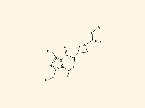 Cc1nc(CO)n(C(F)F)c1C(=O)NC1CN(C(=O)OC(C)(C)C)C1